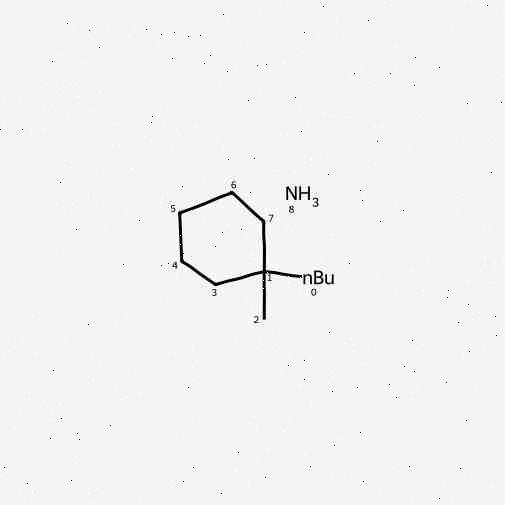 CCCCC1(C)CCCCC1.N